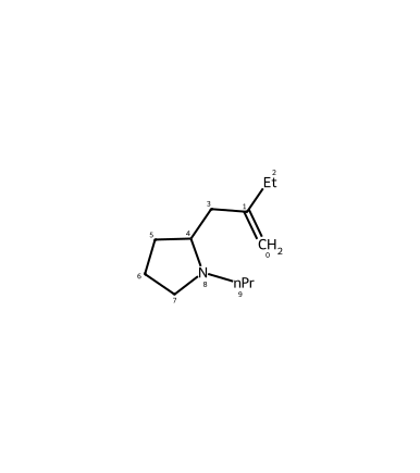 C=C(CC)CC1CCCN1CCC